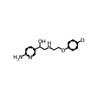 Nc1ccc(C(O)CNCCOc2ccc([O])cc2)cn1